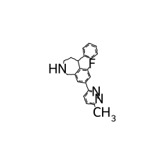 Cc1ccc(-c2cc(F)c3c(c2)CNCCC3c2ccccc2)nn1